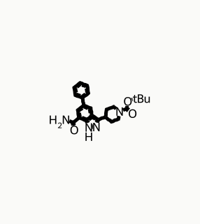 CC(C)(C)OC(=O)N1CCC(c2n[nH]c3c(C(N)=O)cc(-c4ccccc4)cc23)CC1